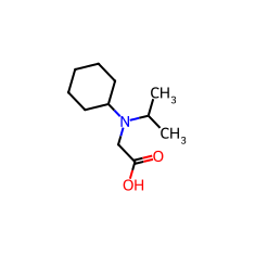 CC(C)N(CC(=O)O)C1CCCCC1